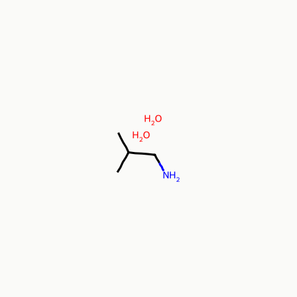 CC(C)CN.O.O